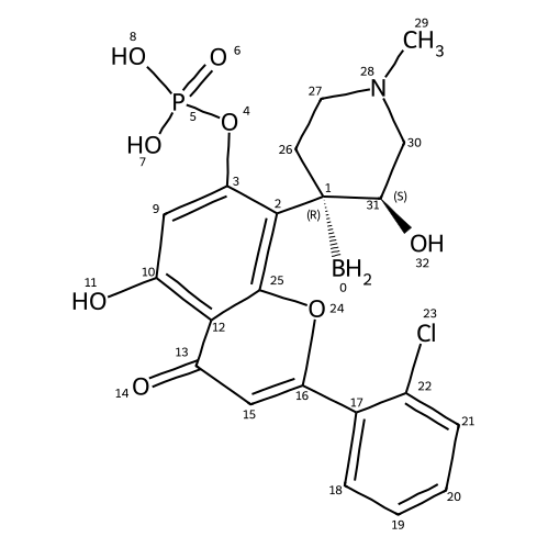 B[C@]1(c2c(OP(=O)(O)O)cc(O)c3c(=O)cc(-c4ccccc4Cl)oc23)CCN(C)C[C@H]1O